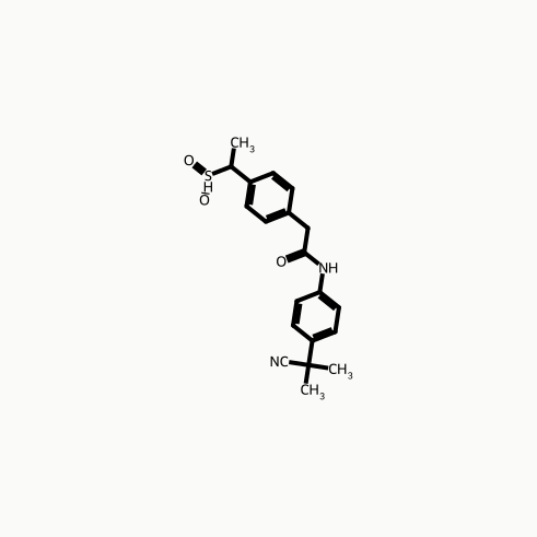 CC(c1ccc(CC(=O)Nc2ccc(C(C)(C)C#N)cc2)cc1)[SH](=O)=O